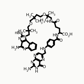 CCCCc1nc2c(N)nc3ccccc3c2n1CC(C)(C)COCC(C)(C)CCOC(C)(C)CNC(=O)CCC(NC(=O)c1ccc(NCc2cnc3nc(N)[nH]c(=O)c3n2)cc1)C(=O)O